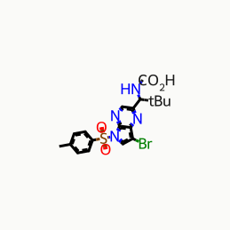 Cc1ccc(S(=O)(=O)n2cc(Br)c3nc(C(NC(=O)O)C(C)(C)C)cnc32)cc1